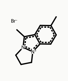 Cc1ccc2c(c1)c(C)n1[n+]2CCC1.[Br-]